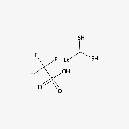 CCC(S)S.O=S(=O)(O)C(F)(F)F